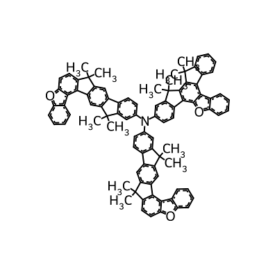 CC1(C)c2cc(N(c3ccc4c(c3)C(C)(C)c3cc5c(cc3-4)C(C)(C)c3ccc4oc6ccccc6c4c3-5)c3ccc4c(c3)C(C)(C)c3c5c(c6c(oc7ccccc76)c3-4)-c3ccccc3C5(C)C)ccc2-c2cc3c(cc21)-c1c(ccc2oc4ccccc4c12)C3(C)C